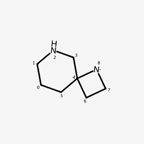 C1CNCC2(C1)CC[N]2